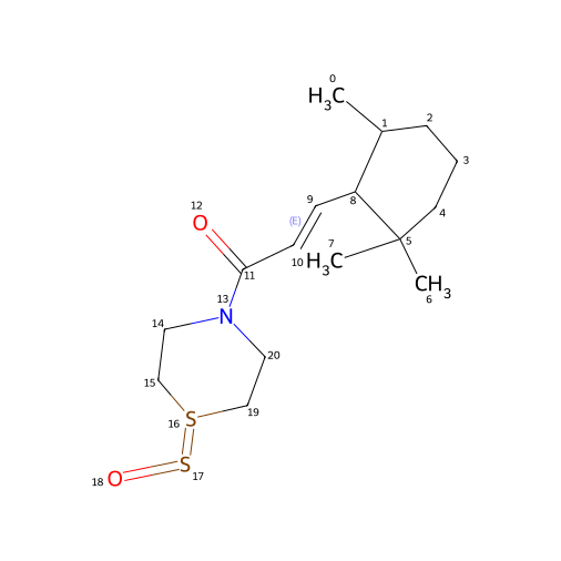 CC1CCCC(C)(C)C1/C=C/C(=O)N1CCS(=S=O)CC1